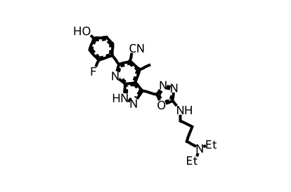 CCN(CC)CCCNc1nnc(-c2n[nH]c3nc(-c4ccc(O)cc4F)c(C#N)c(C)c23)o1